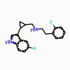 Fc1ccc2[nH]cc(C3CC3CNCCc3ccccc3F)c2c1